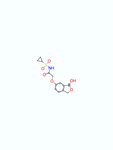 O=C(COc1ccc2c(c1)B(O)OC2)NS(=O)(=O)C1CC1